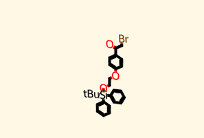 CC(C)(C)[Si](OCCOc1ccc(C(=O)CBr)cc1)(c1ccccc1)c1ccccc1